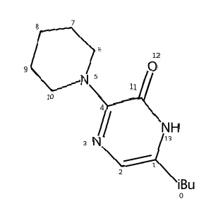 CCC(C)c1cnc(N2CCCCC2)c(=O)[nH]1